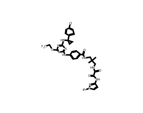 CC(C)n1ccc(NC(=O)C(=O)NCC(C)(C)CNC(=O)c2ccc(Nc3nc(NC4(c5ccc(Cl)cc5)CC4)nc(OCC(F)(F)F)n3)cc2)n1